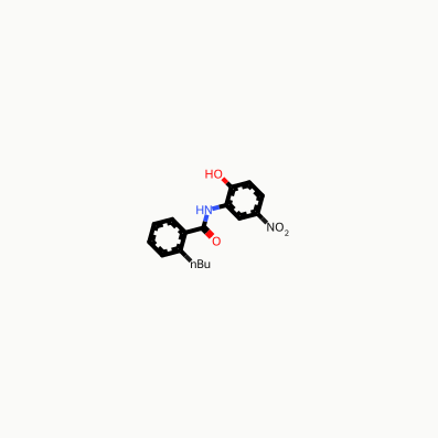 CCCCc1ccccc1C(=O)Nc1cc([N+](=O)[O-])ccc1O